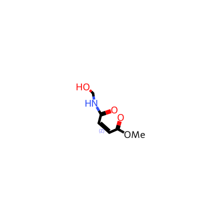 COC(=O)/C=C\C(=O)NCO